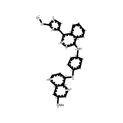 CCOc1nc(-c2nnc(Nc3ccc(Sc4ccnc5cc(OC)cnc45)cc3)c3ccccc23)cs1